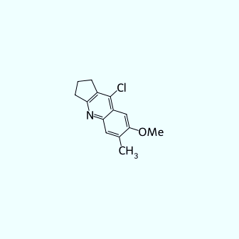 COc1cc2c(Cl)c3c(nc2cc1C)CCC3